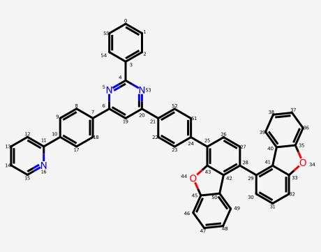 c1ccc(-c2nc(-c3ccc(-c4ccccn4)cc3)cc(-c3ccc(-c4ccc(-c5cccc6oc7ccccc7c56)c5c4oc4ccccc45)cc3)n2)cc1